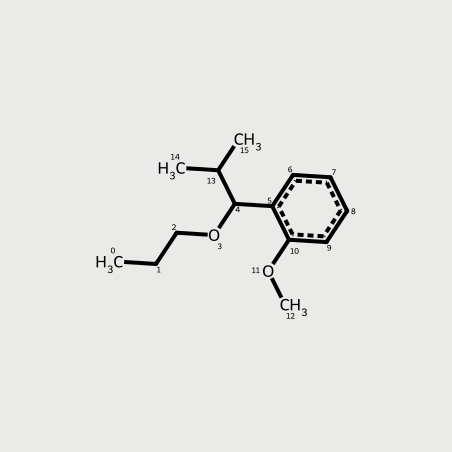 CCCOC(c1ccccc1OC)C(C)C